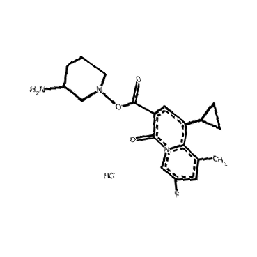 Cc1cc(F)cn2c(=O)c(C(=O)ON3CCCC(N)C3)cc(C3CC3)c12.Cl